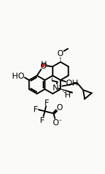 CO[C@@H]1CCC2(O)[C@H]3Cc4ccc(O)c5c4[C@@]2(CC[N@+]3(C)CC2CC2)[C@H]1O5.O=C([O-])C(F)(F)F